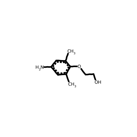 Cc1cc(N)cc(C)c1OCCO